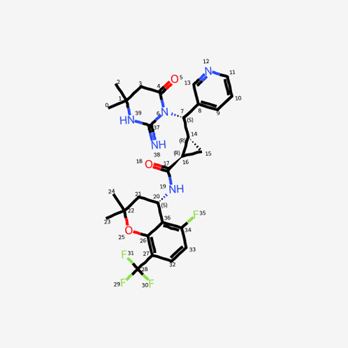 CC1(C)CC(=O)N([C@H](c2cccnc2)[C@@H]2C[C@H]2C(=O)N[C@H]2CC(C)(C)Oc3c(C(F)(F)F)ccc(F)c32)C(=N)N1